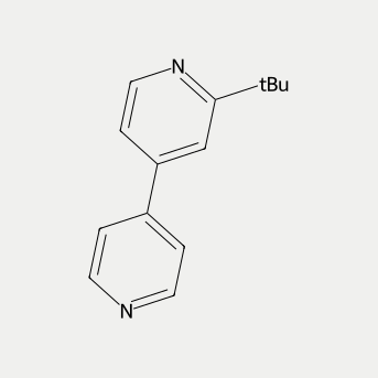 CC(C)(C)c1cc(-c2ccncc2)ccn1